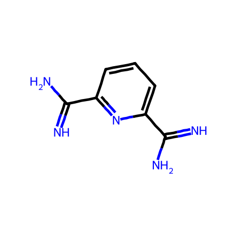 N=C(N)c1cccc(C(=N)N)n1